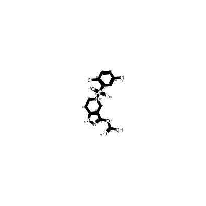 O=C(O)Oc1noc2c1CN(S(=O)(=O)c1cc(Cl)ccc1Cl)CC2